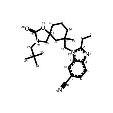 CCc1nc2ccc(C#N)cc2n1CC1(C)CCCC2(CN(CC(C)(C)C)C(=O)O2)C1